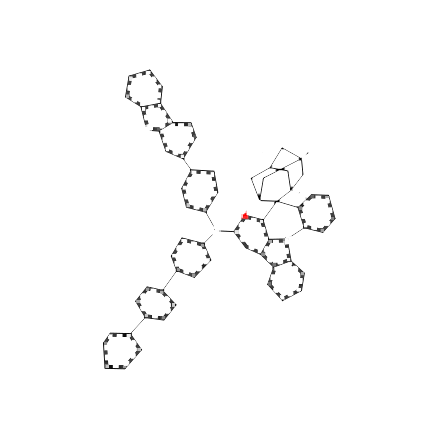 c1ccc(-c2ccc(-c3ccc(N(c4ccc(-c5ccc6c(c5)oc5ccccc56)cc4)c4cc5c6c(c4)c4ccccc4n6-c4ccccc4C54[C@H]5C[C@@H]6C[C@@H](C[C@@H]4C6)C5)cc3)cc2)cc1